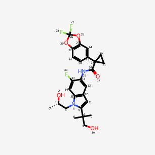 C[C@H](O)Cn1c(C(C)(C)CO)cc2cc(NC(=O)C3(c4ccc5c(c4)OC(F)(F)O5)CC3)c(F)cc21